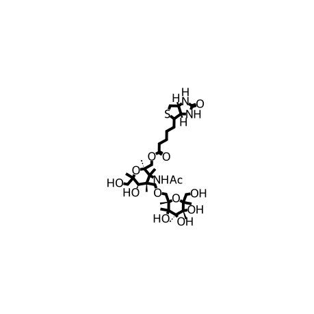 CC(=O)NC1(C)[C@](C)(COC(=O)CCCCC2SC[C@@H]3NC(=O)N[C@H]23)OC(C)(CO)[C@@H](O)[C@@]1(C)COC[C@]1(C)OC(C)(CO)[C@](C)(O)[C@@](C)(O)C1(C)O